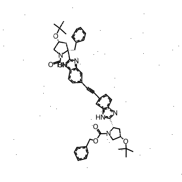 CC(C)(C)O[C@@H]1C[C@@H](c2nc3ccc(C#Cc4ccc5[nH]c([C@]6(Cc7ccccc7)C[C@@H](OC(C)(C)C)CN6C(=O)O)nc5c4)cc3[nH]2)N(C(=O)OCc2ccccc2)C1